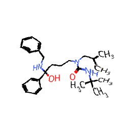 CC(C)CN(CCCC(O)(NCc1ccccc1)c1ccccc1)C(=O)NC(C)(C)C